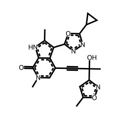 Cc1cc(C(C)(O)C#Cc2cn(C)c(=O)c3[nH]c(C)c(-c4nnc(C5CC5)o4)c23)no1